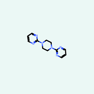 [c]1ccnc(N2CCN(c3ncccn3)CC2)n1